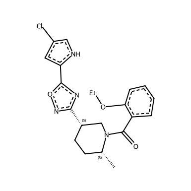 CCOc1ccccc1C(=O)N1C[C@@H](c2noc(-c3cc(Cl)c[nH]3)n2)CC[C@H]1C